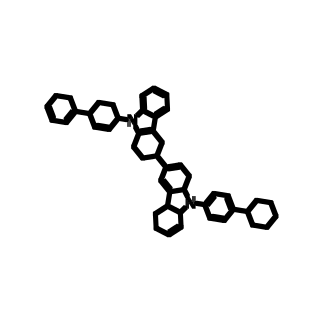 C1=CCCC(C2C=CC(n3c4c(c5ccccc53)CC(C3=CCC5C(=C3)C3CCC=CC3N5c3ccc(C5CCCCC5)cc3)CC4)CC2)=C1